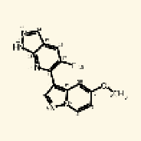 COc1ccn2ncc(-c3nc4[nH]ncc4cc3F)c2c1